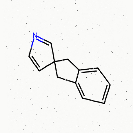 C1=CC2(C=N1)Cc1ccccc1C2